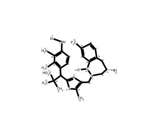 CCNc1ccc(C(c2nc(CN3C[C@@H](CC)Cc4ccc(C(F)(F)F)cc4[S+]3[O-])c(C)s2)C(C)(C)C(=O)O)c(C)c1N